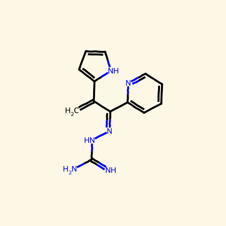 C=C(C(=NNC(=N)N)c1ccccn1)c1ccc[nH]1